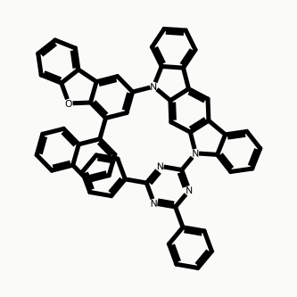 c1ccc(-c2nc(-c3ccccc3)nc(-n3c4ccccc4c4cc5c6ccccc6n(-c6cc(-c7cccc8ccccc78)c7oc8ccccc8c7c6)c5cc43)n2)cc1